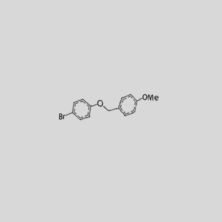 COc1ccc(COc2ccc(Br)cc2)cc1